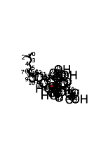 CC(C)CCC[C@@H](C)[C@H]1CCC2C3CCC4C[C@@H]([C@]5(OS(=O)(=O)O)[C@H](OS(=O)(=O)O)[C@@H](O)O[C@H](COS(=O)(=O)O)[C@H]5OS(=O)(=O)O)CC[C@]4(C)C3CC[C@@]21C